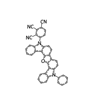 N#Cc1ccc(-n2c3ccccc3c3c4oc5c(ccc6c5c5ccccc5n6-c5ccccc5)c4ccc32)c(C#N)c1C#N